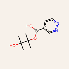 CC(C)(O)C(C)(C)OB(O)c1ccnnc1